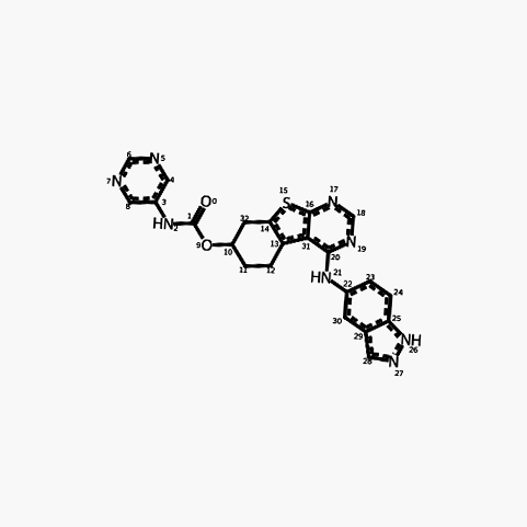 O=C(Nc1cncnc1)OC1CCc2c(sc3ncnc(Nc4ccc5[nH]ncc5c4)c23)C1